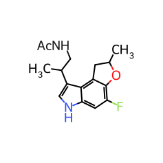 CC(=O)NCC(C)c1c[nH]c2cc(F)c3c(c12)CC(C)O3